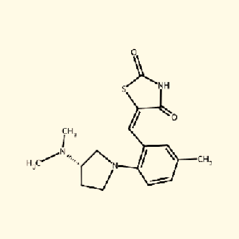 Cc1ccc(N2CC[C@H](N(C)C)C2)c(/C=C2/SC(=O)NC2=O)c1